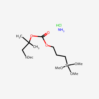 CCCCCCCCCCCC(C)(C)OC(=O)OCCC[Si](OC)(OC)OC.Cl.N